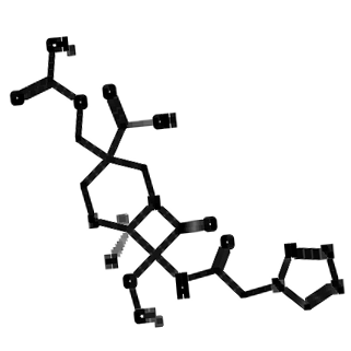 COC1(NC(=O)Cn2cnnn2)C(=O)N2CC(COC(C)=O)(C(=O)O)CS[C@@H]21